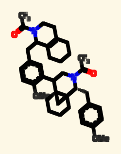 COc1ccc(C[C@H]2N(C(=O)C(F)(F)F)CC(c3cc(CC4C5=C(CCCC5)CCN4C(=O)C(F)(F)F)ccc3OC)[C@]34CCCCC23C4)cc1